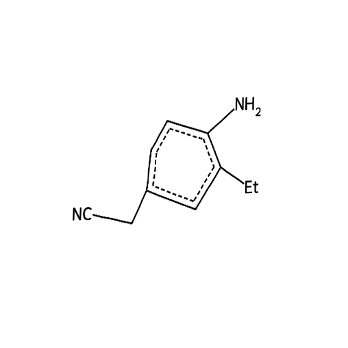 CCc1cc(CC#N)ccc1N